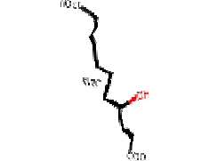 CCCCCCCCCCCCCCC(O)C=CC(=O)[O-].[Na+]